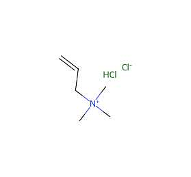 C=CC[N+](C)(C)C.Cl.[Cl-]